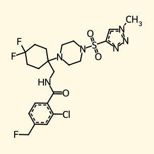 Cn1cc(S(=O)(=O)N2CCN(C3(CNC(=O)c4ccc(CF)cc4Cl)CCC(F)(F)CC3)CC2)nn1